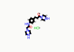 Cl.O=C(CN1CCNCC1)Nc1ccc(CCC(=O)N2CCNCC2)cc1